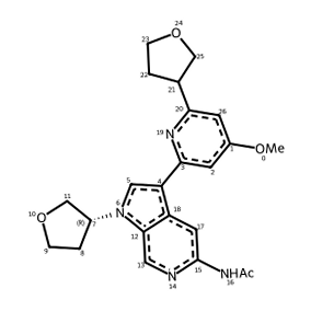 COc1cc(-c2cn([C@@H]3CCOC3)c3cnc(NC(C)=O)cc23)nc(C2CCOC2)c1